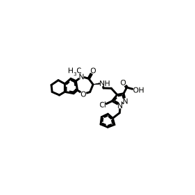 CN1C(=O)[C@@H](NCCc2c(C(=O)O)nn(Cc3ccccc3)c2Cl)COc2cc3c(cc21)CCCC3